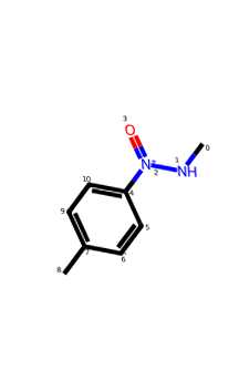 CN[N+](=O)c1c[c]c(C)cc1